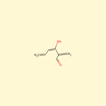 C=C/C=C(/O)C(=C)C=O